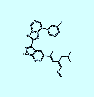 C=N/C=C(\C=C(/C)c1cnc2[nH]nc(-c3nc4c(-c5cccc(F)c5)cncc4[nH]3)c2c1)CN(C)C